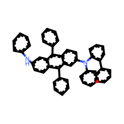 c1ccc(Nc2ccc3c(-c4ccccc4)c4cc(N(c5ccccc5)c5ccccc5-c5ccccc5)ccc4c(-c4ccccc4)c3c2)cc1